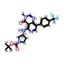 Cn1cnc2c(-c3ccc(C(F)(F)F)cc3)cnc(N[C@H]3CCN(C(=O)OC(C)(C)C)C3)c2c1=O